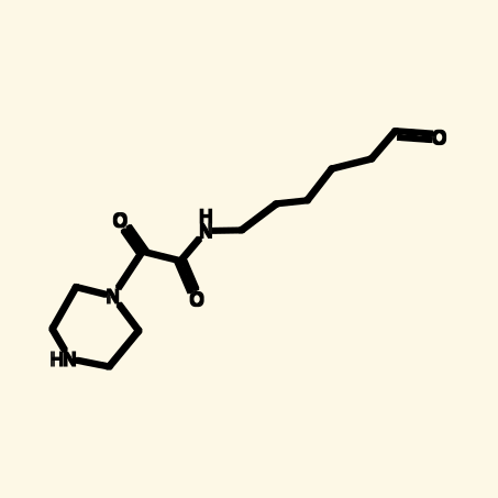 O=CCCCCCNC(=O)C(=O)N1CCNCC1